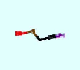 OSCB=P